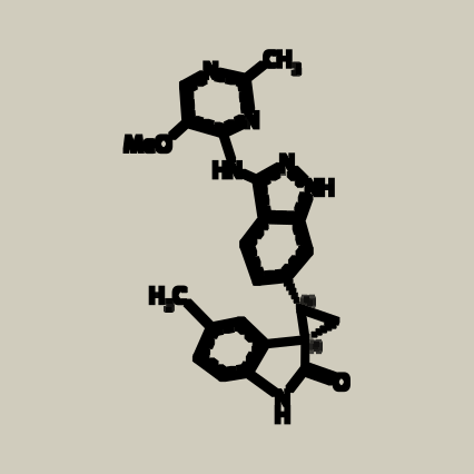 COc1cnc(C)nc1Nc1n[nH]c2cc([C@@H]3C[C@@]34C(=O)Nc3ccc(C)cc34)ccc12